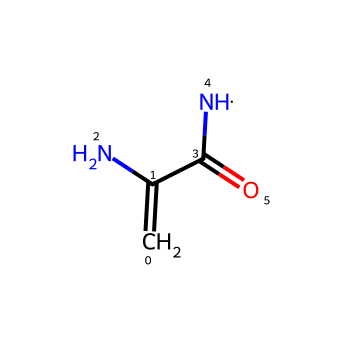 C=C(N)C([NH])=O